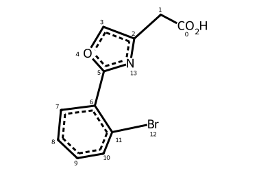 O=C(O)Cc1coc(-c2ccccc2Br)n1